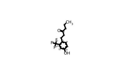 CCCC(=O)CCc1ccc(O)cc1C(F)(F)F